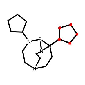 C1CCC(N2CCN3CCN(C4CCCC4)P2N(C2CCCC2)CC3)C1